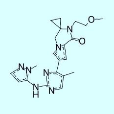 COCCN1C(=O)c2cc(-c3nc(Nc4ccnn4C)ncc3C)cn2CC12CC2